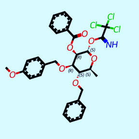 COc1ccc(CO[C@@H]2[C@@H](OCc3ccccc3)[C@H](C)O[C@@H](OC(=N)C(Cl)(Cl)Cl)[C@@H]2OC(=O)c2ccccc2)cc1